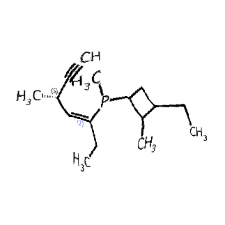 C#C[C@@H](C)/C=C(/CC)P(C)C1CC(CC)C1C